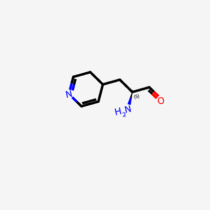 N[C@H](C=O)CC1C=CN=CC1